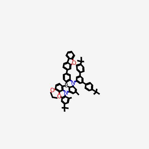 CC1=CC2C3B(c4ccc(-c5ccc6c(c5)oc5ccccc56)cc4N2c2cc(-c4ccc(C(C)(C)C)cc4)cc(-c4ccc(C(C)(C)C)cc4)c2)c2ccc4c(c2N(c2c(C)cc(C(C)(C)C)cc2C)C3=C1)OCCCO4